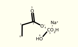 CCC(=O)[O-].O=C(O)O.[Na+]